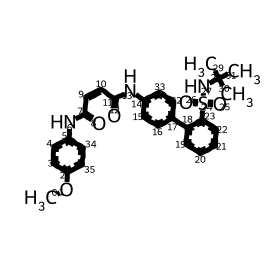 COc1ccc(NC(=O)/C=C\C(=O)Nc2ccc(-c3ccccc3S(=O)(=O)NC(C)(C)C)cc2)cc1